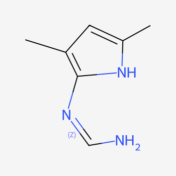 Cc1cc(C)c(/N=C\N)[nH]1